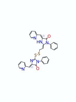 O=C1/C(=C/c2ccccn2)N=C(SSCC=c2[nH]/c(=C\c3ccccn3)c(=O)n2-c2ccccc2)N1c1ccccc1